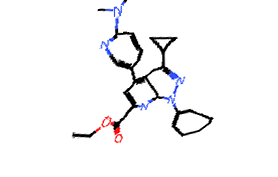 CCOC(=O)c1cc(-c2ccc(N(C)C)nc2)c2c(C3CC3)nn(C3CCCCC3)c2n1